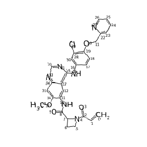 C=CC(=O)N1CCC1C(=O)Nc1cc2c(Nc3ccc(OCc4ccccn4)c(Cl)c3)ncnc2cc1OC